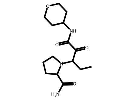 CCC(C(=O)C(=O)NC1CCOCC1)N1CCCC1C(N)=O